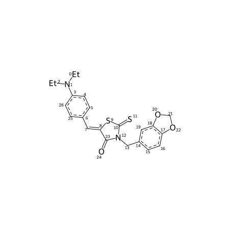 CCN(CC)c1ccc(/C=C2\SC(=S)N(Cc3ccc4c(c3)OCO4)C2=O)cc1